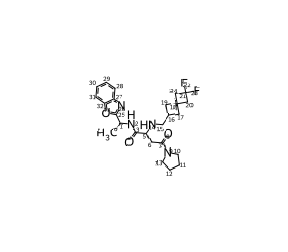 CC(NC(=O)C(CC(=O)N1CCCC1)NCC1CC2(C1)CC(F)(F)C2)c1nc2ccccc2o1